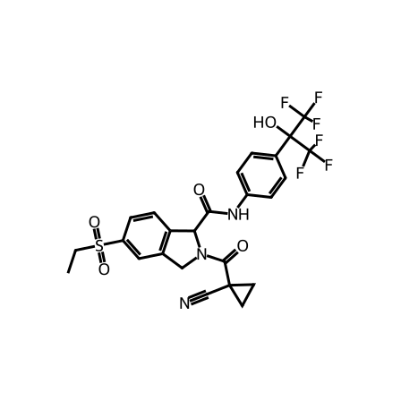 CCS(=O)(=O)c1ccc2c(c1)CN(C(=O)C1(C#N)CC1)C2C(=O)Nc1ccc(C(O)(C(F)(F)F)C(F)(F)F)cc1